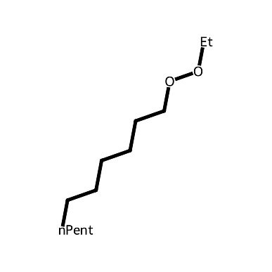 CCCCCCCCCCCOOCC